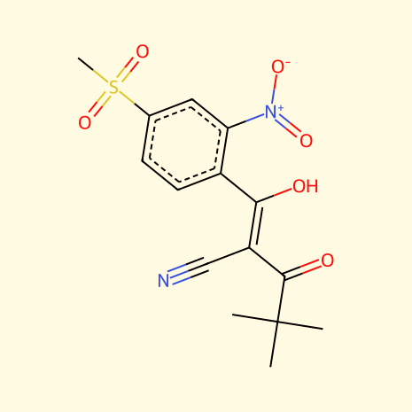 CC(C)(C)C(=O)/C(C#N)=C(\O)c1ccc(S(C)(=O)=O)cc1[N+](=O)[O-]